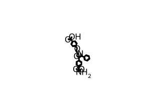 NS(=O)(=O)c1ccc(-c2oc(COc3ccc(C(=O)O)cc3)nc2-c2ccccc2)cc1